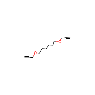 C#CCOCCCCCCOCC#C